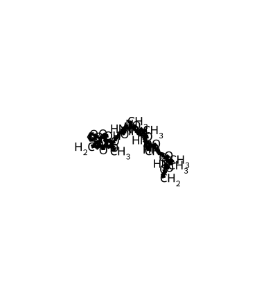 C=CCOC(=O)N[C@@H](C(=O)OCCCNC(=O)c1cc(NC(=O)c2cc(NC(=O)c3nc(NC(=O)CCCOc4cc5c(cc4OC)C(=O)N4CC(=C)CC4C(OC4CCCCO4)N5C(=O)O)cn3C)cn2C)cn1C)C(C)C